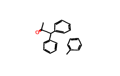 CC(=O)C(c1ccccc1)c1ccccc1.Cc1ccccc1